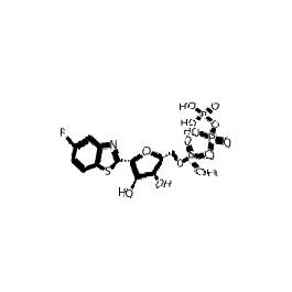 O=P(O)(O)OP(=O)(O)OP(=O)(O)OC[C@H]1O[C@@H](c2nc3cc(F)ccc3s2)[C@H](O)[C@@H]1O